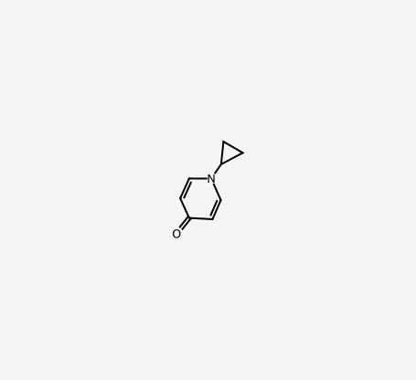 O=c1ccn(C2CC2)cc1